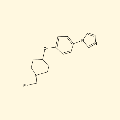 CC(C)CN1CCC(Oc2ccc(-n3ccnc3)cc2)CC1